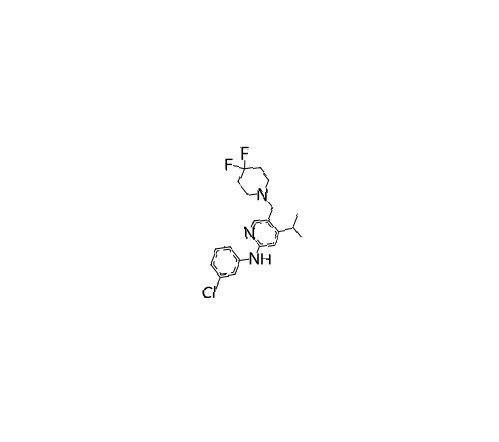 CC(C)c1cc(Nc2cccc(Cl)c2)ncc1CN1CCC(F)(F)CC1